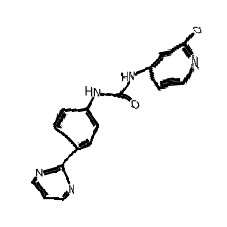 O=C(Nc1ccc(-c2ncccn2)cc1)Nc1ccnc(Cl)c1